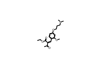 CCOC(=O)/C(=C\c1ccc(OCCCN(C)C)cc1OC)C(C)=O